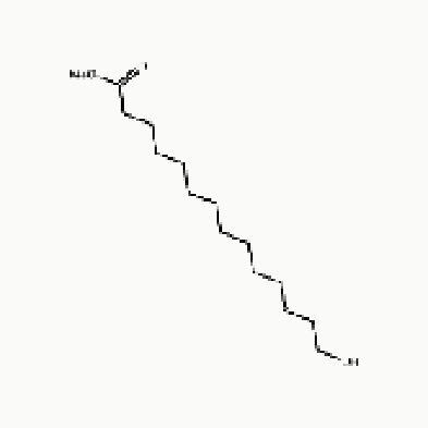 COC(=O)CCCCCCCCCCSCCO